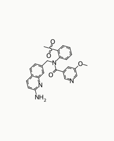 COc1cncc(C(=O)N(Cc2ccc3ccc(N)nc3c2)c2ccccc2S(C)(=O)=O)c1